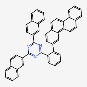 c1ccc(-c2nc(-c3ccc4ccccc4c3)nc(-c3ccc4ccccc4c3)n2)c(-c2ccc3ccc4c5ccccc5ccc4c3c2)c1